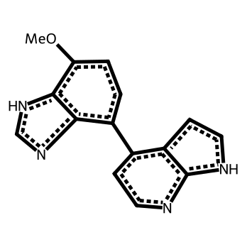 COc1ccc(-c2ccnc3[nH]ccc23)c2nc[nH]c12